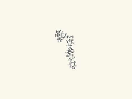 O=[N+]([O-])c1ccc(N[C@H]2CC[C@H](OCS(=O)(=O)N3CCN(c4ccccc4)CC3)CC2)cc1C(F)(F)F